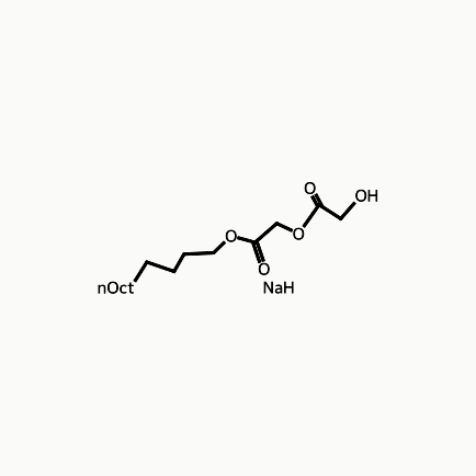 CCCCCCCCCCCCOC(=O)COC(=O)CO.[NaH]